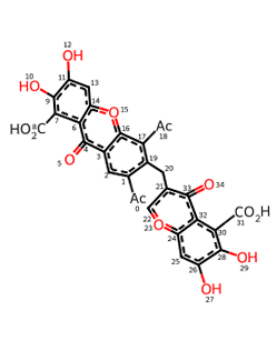 CC(=O)c1cc2c(=O)c3c(C(=O)O)c(O)c(O)cc3oc2c(C(C)=O)c1Cc1coc2cc(O)c(O)c(C(=O)O)c2c1=O